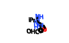 CC(C)N/C(=N\C=N)c1cn2c(n1)-c1cc(C=O)ccc1OCC2